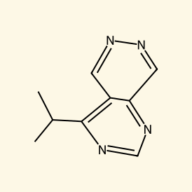 CC(C)c1ncnc2cnncc12